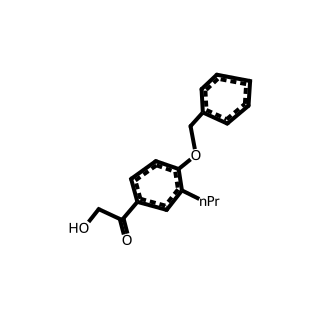 CCCc1cc(C(=O)CO)ccc1OCc1ccccc1